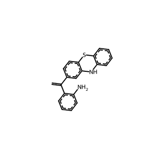 C=C(c1ccc2c(c1)Nc1ccccc1S2)c1ccccc1N